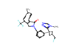 [CH2]c1cc2c(c(C(F)(F)F)c1)CN(c1cccc(C3(c4nncn4C)CC(CF)C3)c1)C2=O